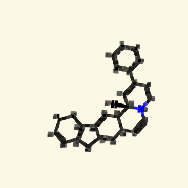 C1#CN2C=CC(c3ccccc3)=C[C@H]2C2C=C3C(=CC12)CC1=C3CCC=C1